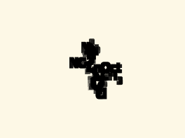 CCCCCCCCC(CC(C#N)Cn1cncn1)c1ccc(Cl)cc1C